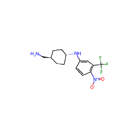 NC[C@H]1CC[C@H](Nc2ccc([N+](=O)[O-])c(C(F)(F)F)c2)CC1